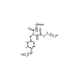 CCCCCNC(=O)[C@H](Cc1ccc(OS(=O)(=O)O)cc1)NC(=O)CCC(=O)O